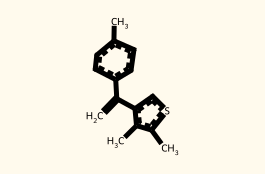 C=C(c1ccc(C)cc1)c1csc(C)c1C